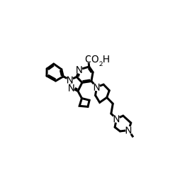 CN1CCN(CCC2CCN(c3cc(C(=O)O)nc4c3c(C3CCC3)nn4-c3ccccc3)CC2)CC1